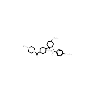 COc1ccc(S(=O)(=O)NC2(C3CCC(C(=O)N4CCN(C(C)C)CC4)CC3)CCC(OC)CC2)cc1